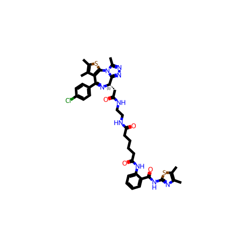 Cc1nc(NC(=O)c2ccccc2NC(=O)CCCCC(=O)NCCNC(=O)C[C@@H]2N=C(c3ccc(Cl)cc3)c3c(sc(C)c3C)-n3c(C)nnc32)sc1C